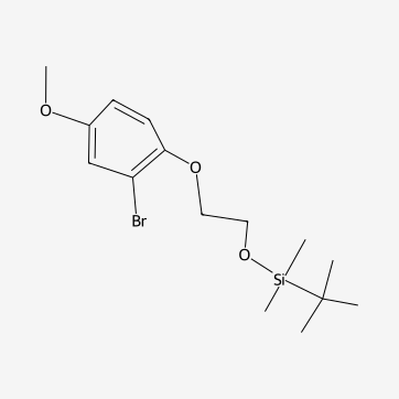 COc1ccc(OCCO[Si](C)(C)C(C)(C)C)c(Br)c1